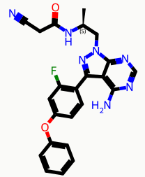 C[C@@H](Cn1nc(-c2ccc(Oc3ccccc3)cc2F)c2c(N)ncnc21)NC(=O)CC#N